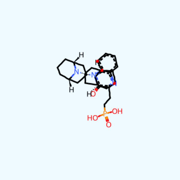 O=c1c(CCP(=O)(O)O)nc2ccccc2n1[C@H]1C[C@H]2CCC[C@@H](C1)N2[C@H]1C[C@@H]2CCC[C@@H](C2)C1